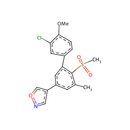 COc1ccc(-c2cc(-c3cnoc3)cc(C)c2S(C)(=O)=O)cc1Cl